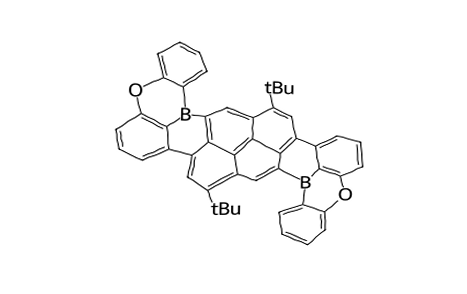 CC(C)(C)c1cc2c3c(cc4c(C(C)(C)C)cc5c6c(cc1c3c46)B1c3ccccc3Oc3cccc-5c31)B1c3ccccc3Oc3cccc-2c31